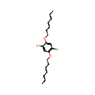 CCCCCCCOc1cc(Br)c(OCCCCCCC)cc1Br